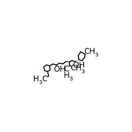 CCC1CCCC(C[C@H](O)CCC[C@@H](CC(O)[C@H]2CC[C@@H](C)CC2)C(C)C)C1